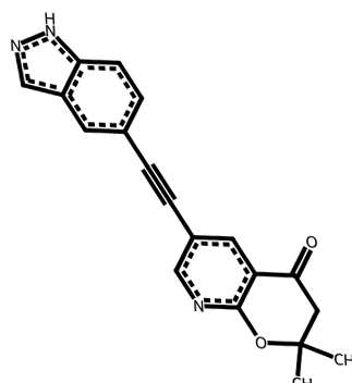 CC1(C)CC(=O)c2cc(C#Cc3ccc4[nH]ncc4c3)cnc2O1